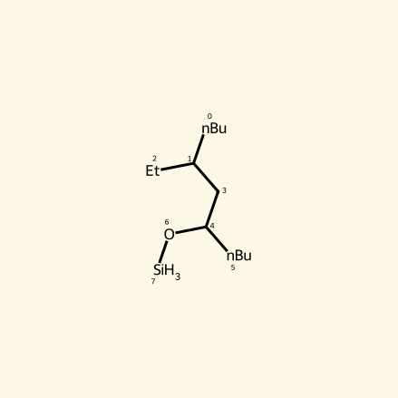 CCCCC(CC)CC(CCCC)O[SiH3]